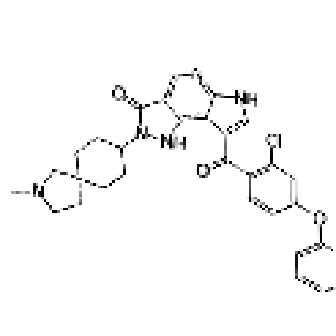 CN1CCC2(CCC(n3[nH]c4c(cnc5[nH]cc(C(=O)c6ccc(Oc7ccccc7)cc6Cl)c54)c3=O)CC2)C1